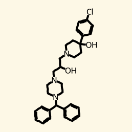 OC(CN1CCN(C(c2ccccc2)c2ccccc2)CC1)CN1CCC(O)(c2ccc(Cl)cc2)CC1